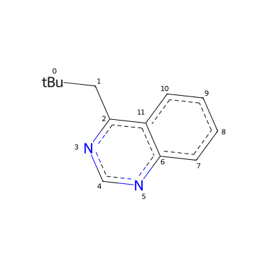 CC(C)(C)Cc1ncnc2ccccc12